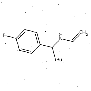 C=CNC(c1ccc(F)cc1)C(C)(C)C